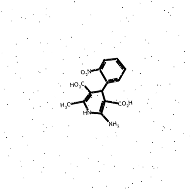 CC1=C(C(=O)O)C(c2ccccc2[N+](=O)[O-])C(C(=O)O)=C(N)N1